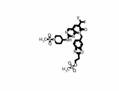 CS(=O)(=O)OCCc1nc2ccc(Cn3c(=O)c(C(F)F)cc4cnc(NC5CCN(S(C)(=O)=O)CC5)nc43)cc2o1